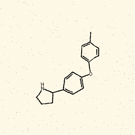 Cc1ccc(Oc2ccc(C3CCCN3)cc2)cc1